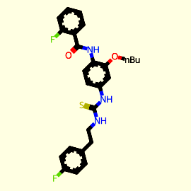 CCCCOc1cc(NC(=S)NCCc2ccc(F)cc2)ccc1NC(=O)c1ccccc1F